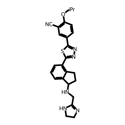 CC(C)Oc1ccc(-c2nnc(-c3cccc4c3CCC4NCC3=NCCN3)s2)cc1C#N